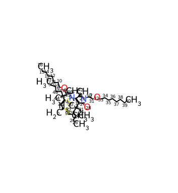 C=C(/C=C(\SN(CCOCCCCCCCC)C1=C(C(C)(CC)CCCC)C(=O)N(CCOCCCCCCCC)C1=C)C(C)(CC)CCCCC)SCC